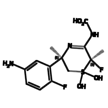 C[C@@]1(c2cc(N)ccc2F)CS(O)(O)[C@](C)(F)C(NC(=O)O)=N1